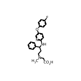 CN(CCC(Nc1ccc(Oc2ccc(F)cc2)cn1)c1ccccc1)CC(=O)O